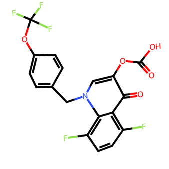 O=C(O)Oc1cn(Cc2ccc(OC(F)(F)F)cc2)c2c(F)ccc(F)c2c1=O